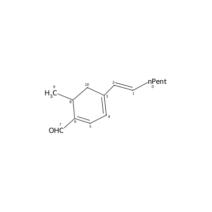 CCCCCC=CC1=CC=C(C=O)C(C)C1